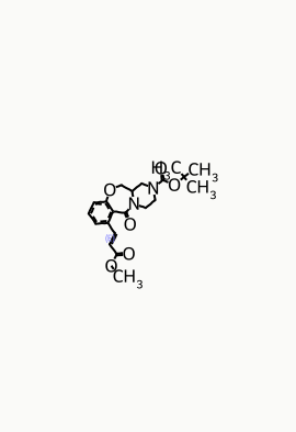 COC(=O)/C=C/c1cccc2c1C(=O)N1CCN(C(=O)OC(C)(C)C)CC1CO2